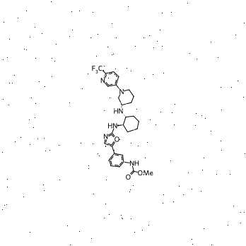 COC(=O)Nc1cccc(-c2cnc(N[C@@H]3CCCC[C@H]3N[C@H]3CCCN(c4ccc(C(F)(F)F)nc4)C3)o2)c1